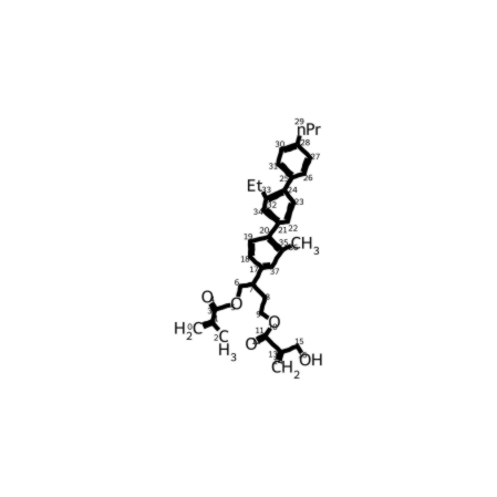 C=C(C)C(=O)OCC(CCOC(=O)C(=C)CO)c1ccc(-c2ccc(-c3ccc(CCC)cc3)c(CC)c2)c(C)c1